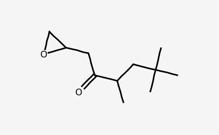 CC(CC(C)(C)C)C(=O)CC1CO1